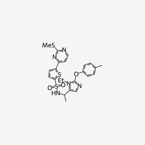 CCn1c(C(C)NS(=O)(=O)c2ccc(-c3ccnc(SC)n3)s2)cnc1Oc1ccc(C)cc1